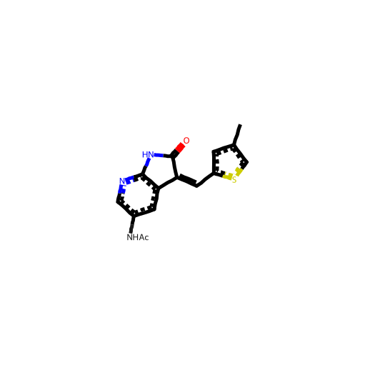 CC(=O)Nc1cnc2c(c1)C(=Cc1cc(C)cs1)C(=O)N2